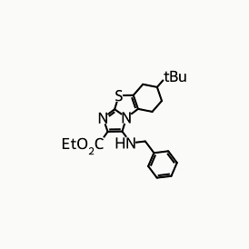 CCOC(=O)c1nc2sc3c(n2c1NCc1ccccc1)CCC(C(C)(C)C)C3